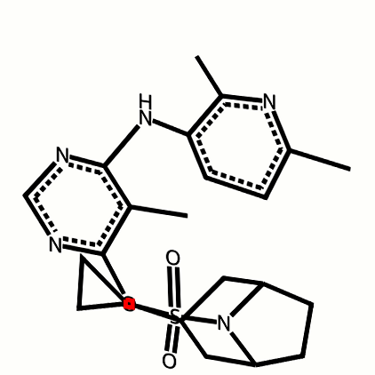 Cc1ccc(Nc2ncnc(OC3CC4CCC(C3)N4S(=O)(=O)C3CC3)c2C)c(C)n1